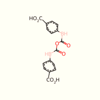 O=C(Bc1ccc(C(=O)O)cc1)OC(=O)Bc1ccc(C(=O)O)cc1